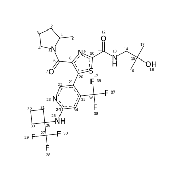 CC1CCCN1C(=O)c1nc(C(=O)NCC(C)(C)O)sc1-c1cnc(NC2(C(F)(F)F)CCC2)cc1C(F)(F)F